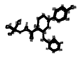 O=C(OCC(Cl)(Cl)Cl)N1CCN(c2ccc(Cl)cc2)C[C@H]1Cc1ccccc1